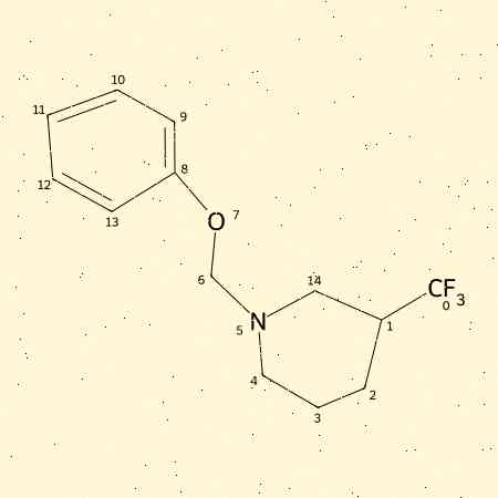 FC(F)(F)C1CCCN(COc2ccccc2)C1